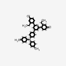 CCc1cc(Cl)ccc1-c1cc(-c2ccc(N(c3ccc(C)cc3)c3ccc(C)cc3)cc2)cc(-c2ccc(Cl)cc2CC)n1